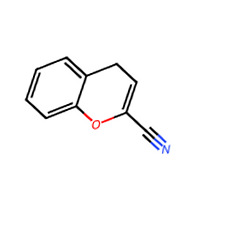 N#CC1=CCc2ccccc2O1